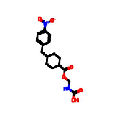 O=C(O)NCOC(=O)C1CCC(Cc2ccc([N+](=O)[O-])cc2)CC1